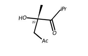 CC(=O)C[C@](C)(O)C(=O)C(C)C